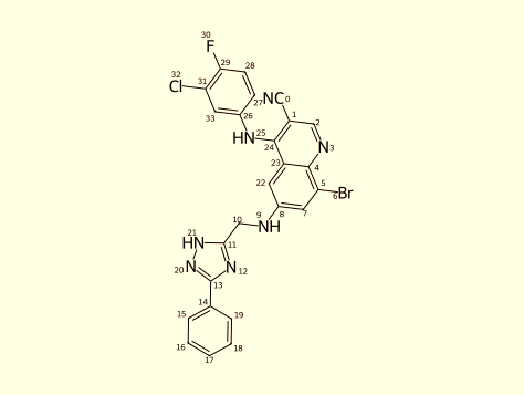 N#Cc1cnc2c(Br)cc(NCc3nc(-c4ccccc4)n[nH]3)cc2c1Nc1ccc(F)c(Cl)c1